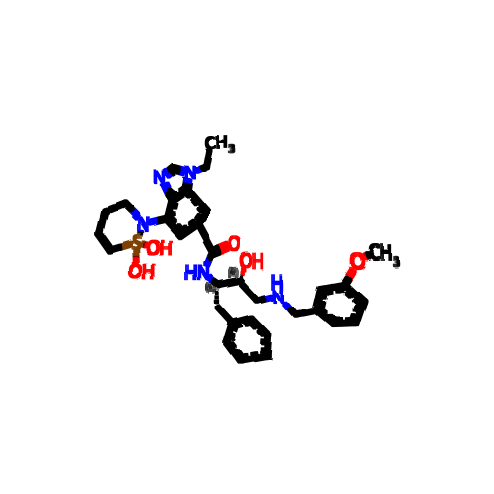 CCn1cnc2c(N3CCCCS3(O)O)cc(C(=O)N[C@@H](Cc3ccccc3)[C@H](O)CNCc3cccc(OC)c3)cc21